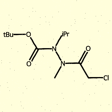 CC(C)N(C(=O)OC(C)(C)C)N(C)C(=O)CCl